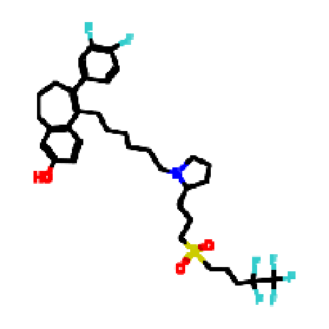 O=S(=O)(CCC[C@@H]1CCCN1CCCCCCC1=C(c2ccc(F)c(F)c2)CCCc2cc(O)ccc21)CCCC(F)(F)C(F)(F)F